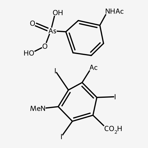 CC(=O)Nc1cccc([As](=O)(O)OO)c1.CNc1c(I)c(C(C)=O)c(I)c(C(=O)O)c1I